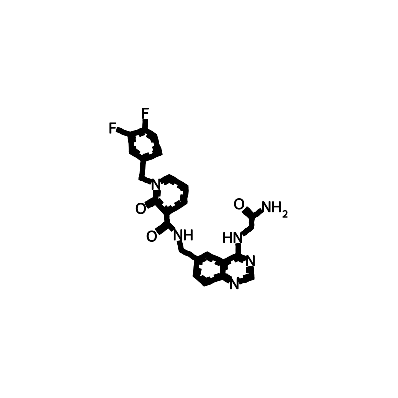 NC(=O)CNc1ncnc2ccc(CNC(=O)c3cccn(Cc4ccc(F)c(F)c4)c3=O)cc12